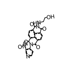 O=C1c2ccc3c4c(ccc(c24)C(=O)N1NCCO)C(=O)N(c1ccncc1[N+](=O)[O-])C3=O